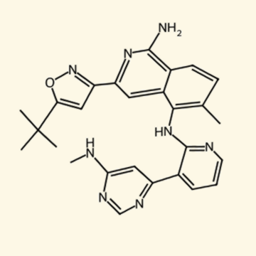 CNc1cc(-c2cccnc2Nc2c(C)ccc3c(N)nc(-c4cc(C(C)(C)C)on4)cc23)ncn1